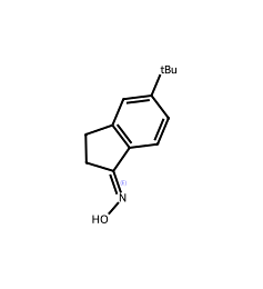 CC(C)(C)c1ccc2c(c1)CC/C2=N\O